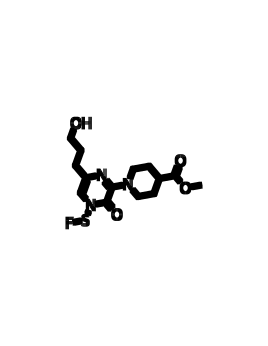 COC(=O)C1CCN(c2nc(CCCO)cn(SF)c2=O)CC1